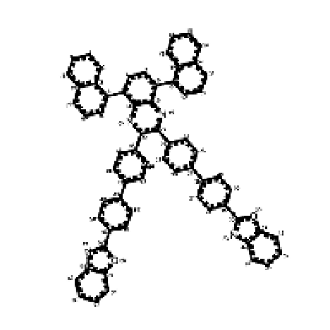 c1ccc2c(-c3ccc(-c4cccc5ccccc45)c4nc(-c5ccc(-c6ccc(-c7nc8ccccc8o7)cc6)cc5)c(-c5ccc(-c6ccc(-c7nc8ccccc8o7)cc6)cc5)nc34)cccc2c1